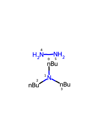 CCCCN(CCCC)CCCC.NN